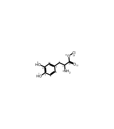 NC(Cc1ccc(O)c(O)c1)C(=O)OCl